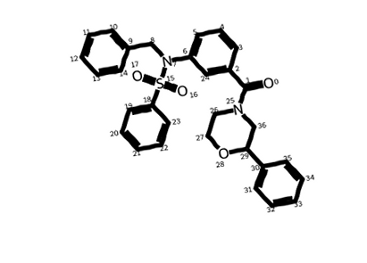 O=C(c1cccc(N(Cc2ccccc2)S(=O)(=O)c2ccccc2)c1)N1CCOC(c2ccccc2)C1